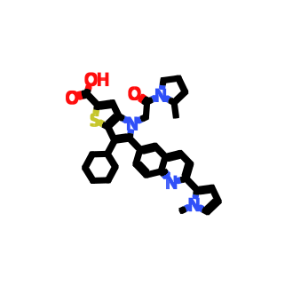 CC1CCCN1C(=O)Cn1c(-c2ccc3nc(-c4cccn4C)ccc3c2)c(C2CCCCC2)c2sc(C(=O)O)cc21